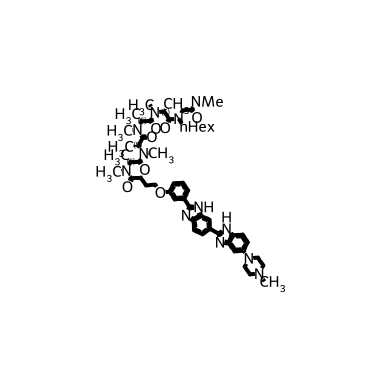 CCCCCCN(CC(=O)NC)C(=O)[C@H](C)N(C)C(=O)[C@H](C)N(C)C(=O)[C@H](C)N(C)C(=O)[C@H](C)N(C)C(=O)CCCOc1cccc(-c2nc3ccc(-c4nc5cc(N6CCN(C)CC6)ccc5[nH]4)cc3[nH]2)c1